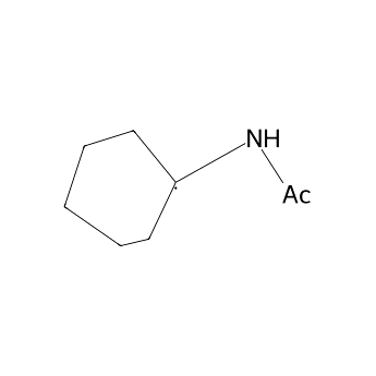 CC(=O)N[C]1CCCCC1